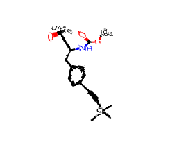 COC(=O)[C@H](Cc1ccc(C#C[Si](C)(C)C)cc1)NC(=O)OC(C)(C)C